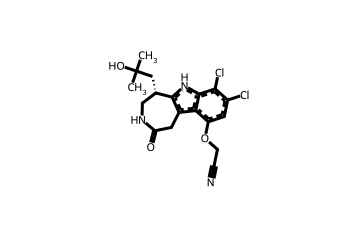 CC(C)(O)C[C@H]1CNC(=O)Cc2c1[nH]c1c(Cl)c(Cl)cc(OCC#N)c21